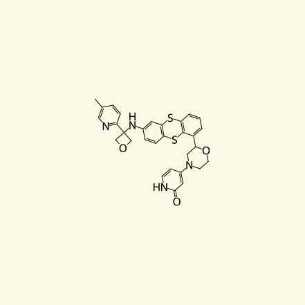 Cc1ccc(C2(Nc3ccc4c(c3)Sc3cccc(C5CN(c6cc[nH]c(=O)c6)CCO5)c3S4)COC2)nc1